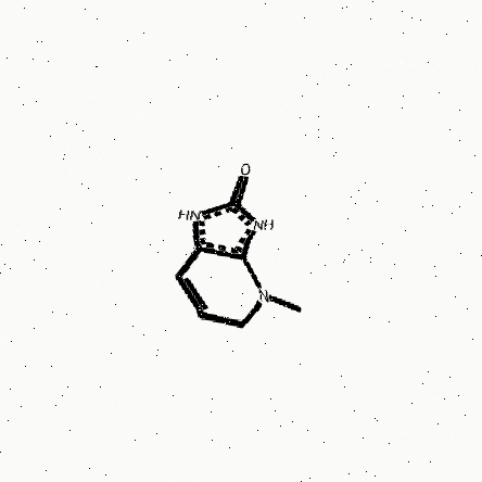 CN1CC=Cc2[nH]c(=O)[nH]c21